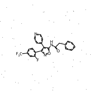 O=C(Cc1ccccc1)Nc1onc(-c2ccc(C(F)(F)F)cc2F)c1-c1ccncc1